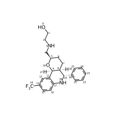 OCCNC[C@H]1CC[C@@H]2[C@H](O1)c1cc(C(F)(F)F)ccc1N[C@H]2c1ccccc1